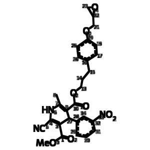 COC(=O)C1=C(C#N)NC(C)=C(C(=O)OCCCc2ccc(OCC3CO3)cc2)C1c1cccc([N+](=O)[O-])c1